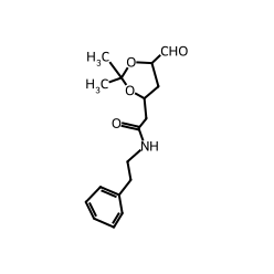 CC1(C)OC(C=O)CC(CC(=O)NCCc2ccccc2)O1